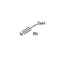 N#C[SeH].[Rh]